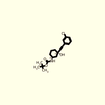 CC(C)(C)OC(=O)N[C@H]1CCC[C@@](O)(C#Cc2cccc(Cl)c2)C1